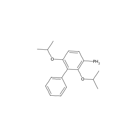 CC(C)Oc1ccc(P)c(OC(C)C)c1-c1ccccc1